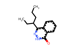 CCCC(CC)c1n[nH]c(=O)c2ccccc12